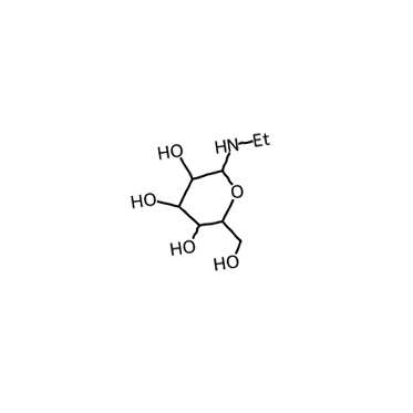 CCNC1OC(CO)C(O)C(O)C1O